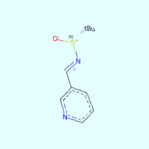 CC(C)(C)[S@@+]([O-])/N=C/c1cccnc1